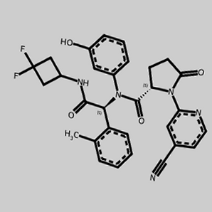 Cc1ccccc1[C@@H](C(=O)NC1CC(F)(F)C1)N(C(=O)[C@@H]1CCC(=O)N1c1cc(C#N)ccn1)c1cccc(O)c1